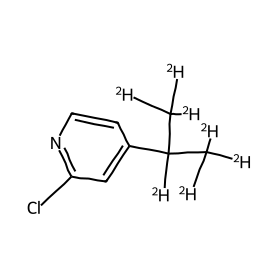 [2H]C([2H])([2H])C([2H])(c1ccnc(Cl)c1)C([2H])([2H])[2H]